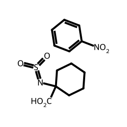 O=C(O)C1(N=S(=O)=O)CCCCC1.O=[N+]([O-])c1ccccc1